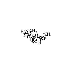 C=NC[C@H](C[C@@H]1CCNC1=O)NC(=O)[C@@H]1[C@H]2CC[C@H]2CN1C(=O)c1cc2c(OC)cccc2[nH]1